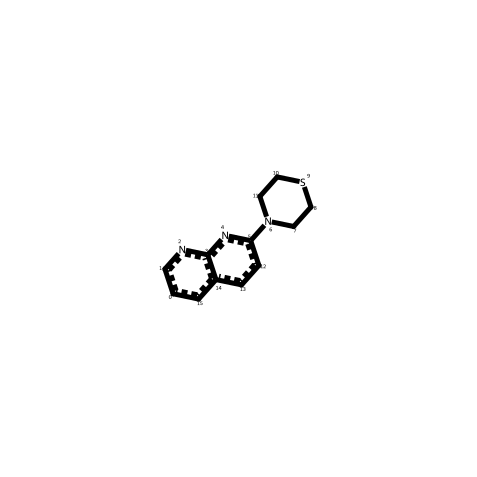 c1cnc2nc(N3CCSCC3)ccc2c1